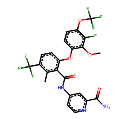 COc1c(Oc2ccc(C(F)(F)F)c(C)c2C(=O)Nc2ccnc(C(N)=O)c2)ccc(OC(F)(F)F)c1F